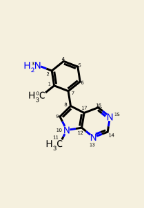 Cc1c(N)cccc1-c1cn(C)c2ncn[c]c12